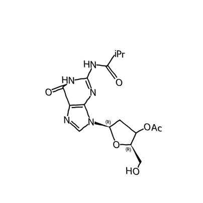 CC(=O)OC1C[C@H](n2cnc3c(=O)[nH]c(NC(=O)C(C)C)nc32)O[C@@H]1CO